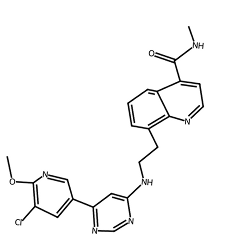 CNC(=O)c1ccnc2c(CCNc3cc(-c4cnc(OC)c(Cl)c4)ncn3)cccc12